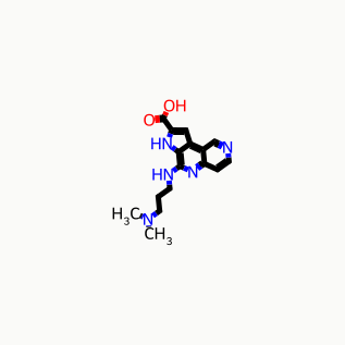 CN(C)CCCNc1nc2ccncc2c2cc(C(=O)O)[nH]c12